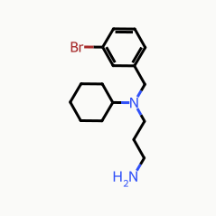 NCCCN(Cc1cccc(Br)c1)C1CCCCC1